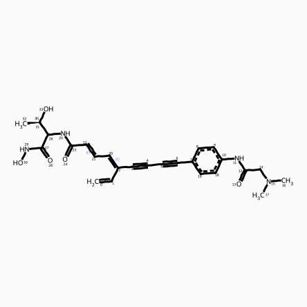 C=C/C(C#CC#Cc1ccc(NC(=O)CN(C)C)cc1)=C\C=C\C(=O)NC(C(=O)NO)[C@@H](C)O